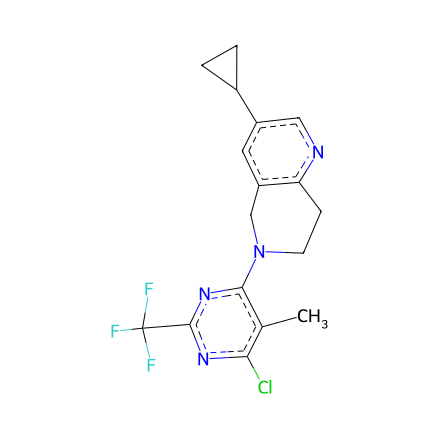 Cc1c(Cl)nc(C(F)(F)F)nc1N1CCc2ncc(C3CC3)cc2C1